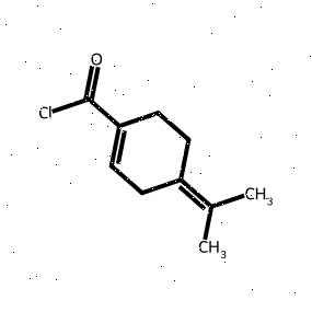 CC(C)=C1CC=C(C(=O)Cl)CC1